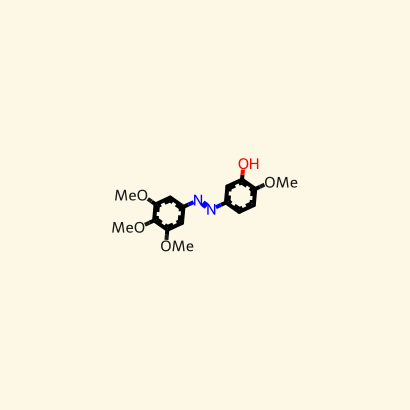 COc1ccc(N=Nc2cc(OC)c(OC)c(OC)c2)cc1O